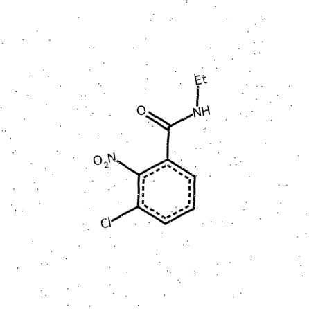 CCNC(=O)c1cccc(Cl)c1[N+](=O)[O-]